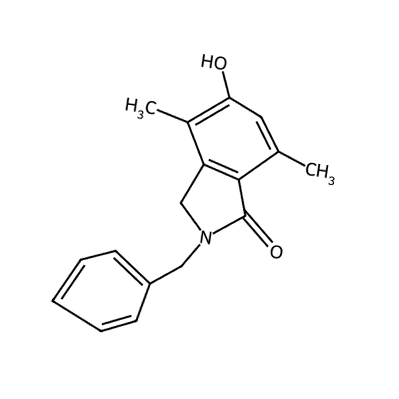 Cc1cc(O)c(C)c2c1C(=O)N(Cc1ccccc1)C2